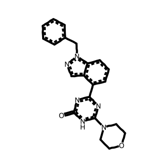 O=c1nc(-c2cccc3c2cnn3Cc2ccccc2)nc(N2CCOCC2)[nH]1